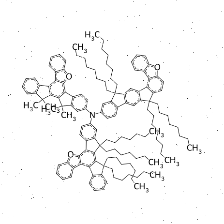 CCCCCCCCC1(CCCCCCCC)c2cc(N(c3ccc4c(c3)C(C)(C)c3c5c(c6c(oc7ccccc76)c3-4)-c3ccccc3C5(C)C)c3ccc4c(c3)C(CCCCCCC)(CCCCCCC)c3c5c(c6c(oc7ccccc76)c3-4)-c3ccccc3C5(CCCCCCC)CCCCCCC)ccc2-c2cc3c(cc21)-c1c(ccc2oc4ccccc4c12)C3(CCCCCCCC)CCCCCCCC